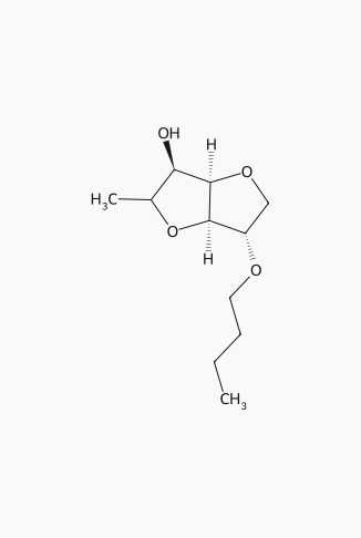 CCCCO[C@H]1CO[C@H]2[C@@H]1OC(C)[C@H]2O